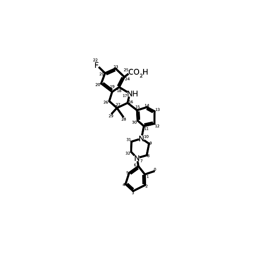 Cc1ccccc1N1CCN(c2cccc(C3Nc4c(cc(F)cc4C(=O)O)CC3(C)C)c2)CC1